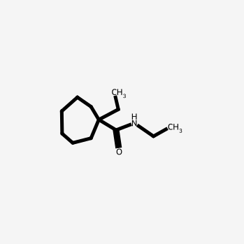 CCNC(=O)C1(CC)CCCCCC1